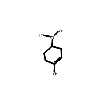 CC(C)N(C(C)C)C1CC=C(C#N)CC1